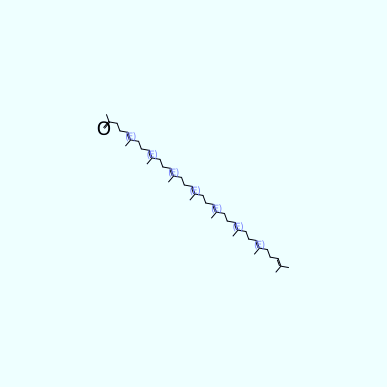 CC(=O)CC/C=C(\C)CC/C=C(\C)CC/C=C(\C)CC/C=C(\C)CC/C=C(\C)CC/C=C(\C)CC/C=C(\C)CCC=C(C)C